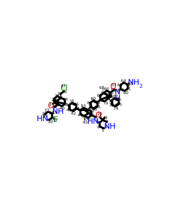 CC1(C)CNCCC1NC(=O)C12CC3(c4ccc([C@]56CC7CC(C(=O)N[C@@H]8CCNC[C@@H]8F)(C[C@](CCCl)(C7)C5)C6)cc4)C[C@@](C)(C1)C[C@@](c1ccc(C45CC6(C(=O)N[C@H]7CC[C@@H](N)CC7)C[C@](C)(C4)C[C@@](c4ccccc4)(C6)C5)cc1)(C2)C3